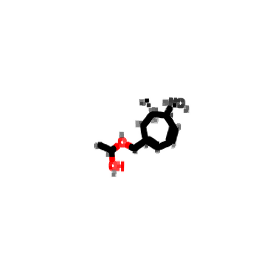 CC(O)OCC1=CC#CC([N+](=O)[O-])[C@@H](C)C1